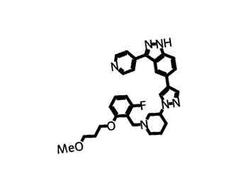 COCCCOc1cccc(F)c1CN1CCCC(n2cc(-c3ccc4[nH]nc(-c5ccncc5)c4c3)cn2)C1